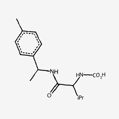 Cc1ccc(C(C)NC(=O)C(NC(=O)O)C(C)C)cc1